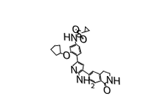 Nc1ncc(-c2ccc(NS(=O)(=O)C3CC3)cc2OC2CCCC2)cc1-c1ccc2c(c1)CCNC2=O